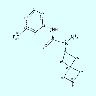 CN(C(=O)Nc1cccc(C(F)(F)F)c1)C1CC2(CNC2)C1